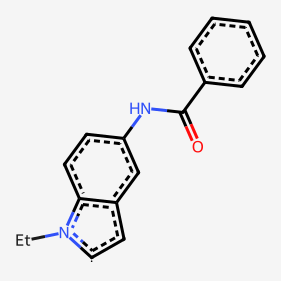 CCn1[c]cc2cc(NC(=O)c3ccccc3)ccc21